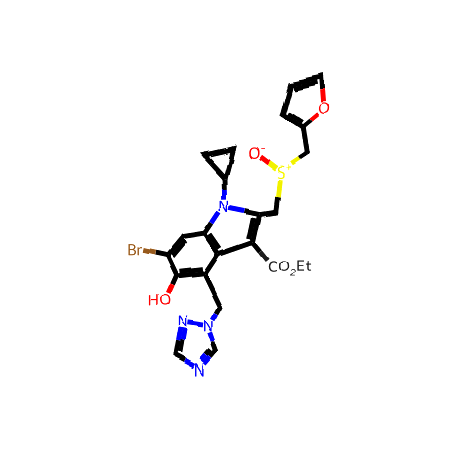 CCOC(=O)c1c(C[S+]([O-])Cc2ccco2)n(C2CC2)c2cc(Br)c(O)c(Cn3cncn3)c12